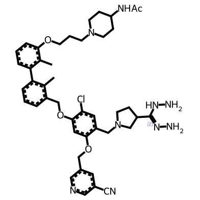 CC(=O)NC1CCN(CCCOc2cccc(-c3cccc(COc4cc(OCc5cncc(C#N)c5)c(CN5CCC(/C(=N/N)NN)C5)cc4Cl)c3C)c2C)CC1